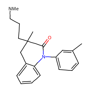 CNCCCC1(C)Cc2ccccc2N(c2cccc(C)c2)C1=O